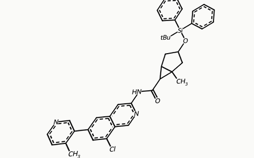 Cc1ccncc1-c1cc(Cl)c2cnc(NC(=O)C3C4CC(O[Si](c5ccccc5)(c5ccccc5)C(C)(C)C)CC43C)cc2c1